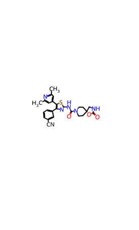 Cc1cc(-c2sc(NC(=O)N3CCC4(CC3)CNC(=O)O4)nc2-c2cccc(C#N)c2)cc(C)n1